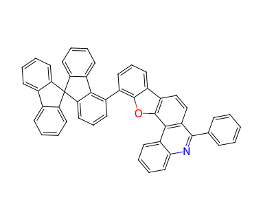 c1ccc(-c2nc3ccccc3c3c2ccc2c4cccc(-c5cccc6c5-c5ccccc5C65c6ccccc6-c6ccccc65)c4oc23)cc1